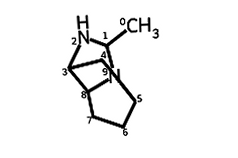 CC1NC2CC3CCC2N31